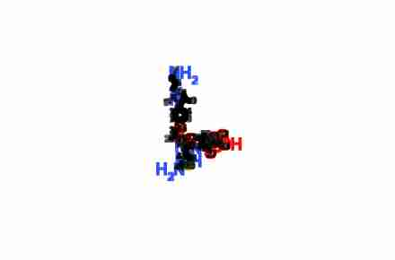 Cc1cn(CCCN)[n+](C)c1-c1ccc(OC[C@@H](C)O/N=C(\C(=O)N[C@@H]2C(=O)N(OS(=O)(=O)O)C2(C)C)c2csc(N)n2)cc1